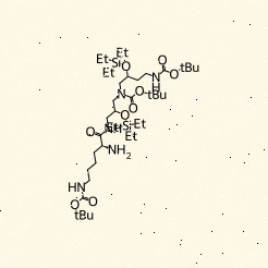 CC[Si](CC)(CC)OC(CCNC(=O)OC(C)(C)C)CN(CC(CNC(=O)[C@@H](N)CCCCNC(=O)OC(C)(C)C)O[Si](CC)(CC)CC)C(=O)OC(C)(C)C